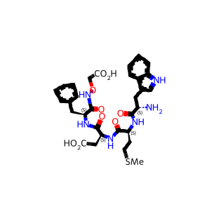 CSCC[C@H](NC(=O)[C@@H](N)Cc1c[nH]c2ccccc12)C(=O)N[C@@H](CC(=O)O)C(=O)N[C@@H](Cc1ccccc1)C(=O)NOCC(=O)O